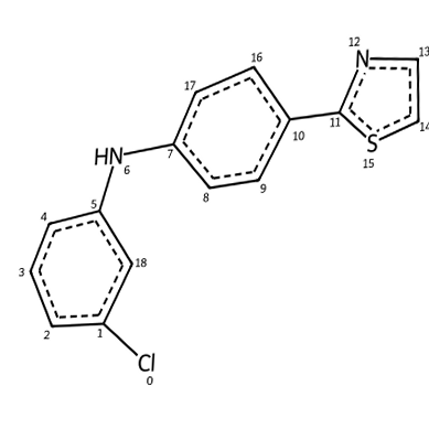 Clc1cccc(Nc2ccc(-c3nccs3)cc2)c1